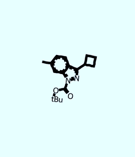 Cc1ccc2c(C3CCC3)nn(C(=O)OC(C)(C)C)c2c1